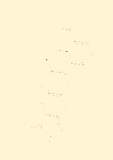 CC(O)c1cccc2c1OC(F)(F)C(=O)N2Cc1ccc2c(c1)nnn2C